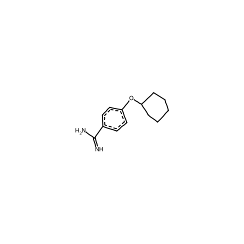 N=C(N)c1ccc(OC2CCCCC2)cc1